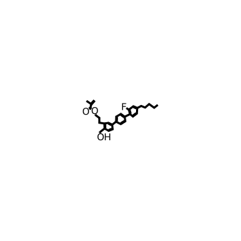 C=C(C)C(=O)OCCCc1cc(-c2ccc(-c3ccc(CCCCC)cc3F)cc2)ccc1CO